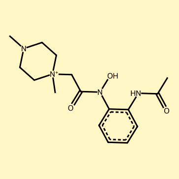 CC(=O)Nc1ccccc1N(O)C(=O)C[N+]1(C)CCN(C)CC1